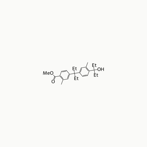 CCC(O)(CC)c1ccc(C(CC)(CC)c2ccc(C(=O)OC)c(C)c2)cc1C